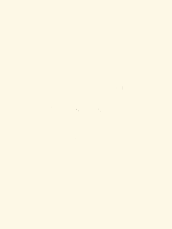 CCC1=CN(CC)C(CC)N1C